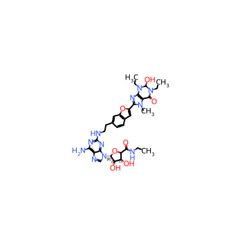 CCNC(=O)C1O[C@@H](n2cnc3c(N)nc(NCCc4ccc5cc(-c6nc7c(n6C)C(=O)N(CC)C(O)N7CC)oc5c4)nc32)[C@H](O)[C@@H]1O